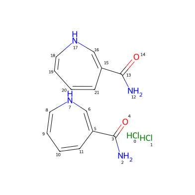 Cl.Cl.NC(=O)C1=CNC=CC=C1.NC(=O)C1=CNC=CC=C1